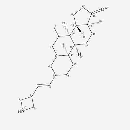 CC1CC2CC(C=CC3CNC3)CC[C@]2(C)[C@@H]2CC[C@]3(C)C(=O)CC[C@H]3[C@H]12